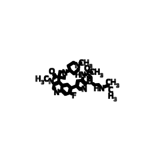 CC(C)NCCOc1ncc(-c2cc3c4c(cnc3cc2F)N(C)C(=O)C42CN(C3CCN(C)CC3)C2)cc1NS(C)(=O)=O